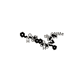 CN[C@@H](C)C(=O)N[C@H](C(=O)N1CCC[C@H]1CN(CCc1ccccc1)C(=O)CNS(=O)(=O)c1ccc2cc(S(=O)(=O)NCC(=O)NCCc3ccccc3)ccc2c1)C(C)(C)C